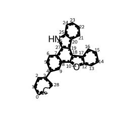 c1ccc(-c2ccc3c(c2)c2oc4ccccc4c2c2c4ccccc4[nH]c32)cc1